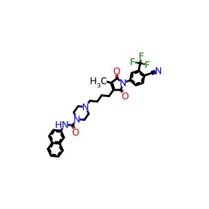 CC1=C(CCCCN2CCN(C(=O)Nc3ccc4ccccc4c3)CC2)C(=O)N(c2ccc(C#N)c(C(F)(F)F)c2)C1=O